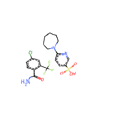 NC(=O)c1ccc(Cl)cc1C(F)(F)F.O=S(=O)(O)c1ccc(N2CCCCCC2)nc1